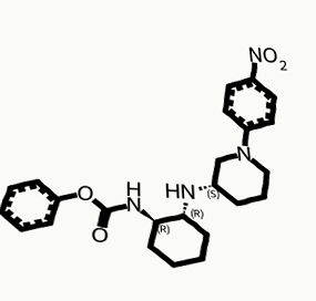 O=C(N[C@@H]1CCCC[C@H]1N[C@H]1CCCN(c2ccc([N+](=O)[O-])cc2)C1)Oc1ccccc1